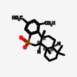 CC1(C)CCC[C@]2(C)[C@H]3CS(=O)(=O)c4cc(C(=O)O)cc(C(=O)O)c4[C@]3(C)CC[C@@H]12